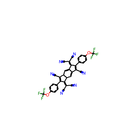 N#CC(C#N)=C1C2=CC3C(C#N)=C(c4ccc(OC(F)(F)F)cc4)C(=C(C#N)C#N)C3C=C2C(C#N)=C1c1ccc(OC(F)(F)F)cc1